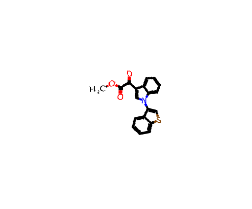 COC(=O)C(=O)c1cn(-c2csc3ccccc23)c2ccccc12